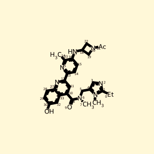 CCc1ncc(CN(C)C(=O)c2cc(-c3ccc(NC4CN(C(C)=O)C4)c(C)n3)nc3ccc(O)cc23)n1C